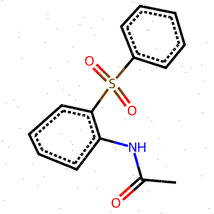 CC(=O)Nc1ccccc1S(=O)(=O)c1ccccc1